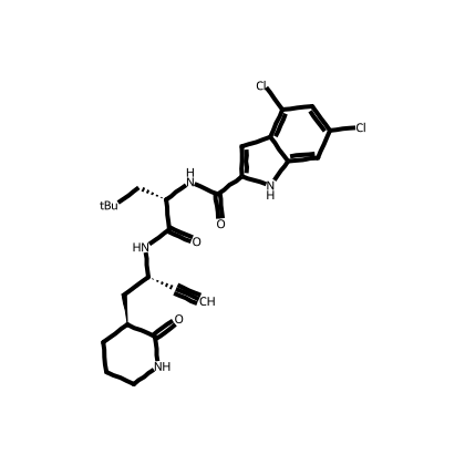 C#C[C@H](C[C@@H]1CCCNC1=O)NC(=O)[C@H](CC(C)(C)C)NC(=O)c1cc2c(Cl)cc(Cl)cc2[nH]1